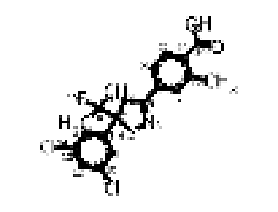 Cc1cc(C2=NSC(c3cc(Cl)cc(Cl)c3)(C(C)(C)F)C2)ccc1C(=O)O